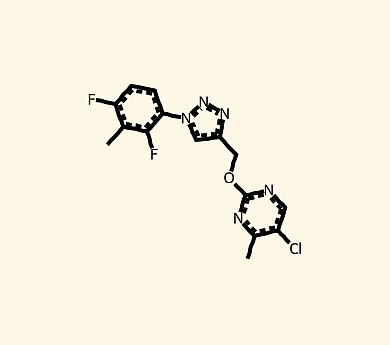 Cc1nc(OCc2cn(-c3ccc(F)c(C)c3F)nn2)ncc1Cl